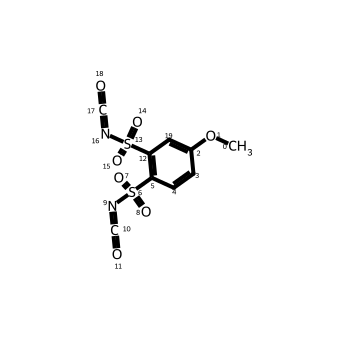 COc1ccc(S(=O)(=O)N=C=O)c(S(=O)(=O)N=C=O)c1